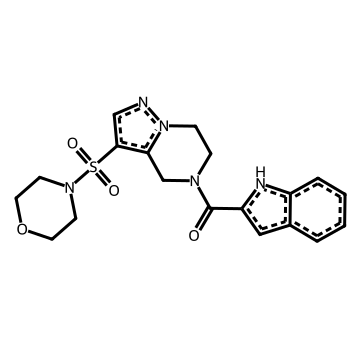 O=C(c1cc2ccccc2[nH]1)N1CCn2ncc(S(=O)(=O)N3CCOCC3)c2C1